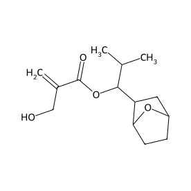 C=C(CO)C(=O)OC(C(C)C)C1CC2CCC1O2